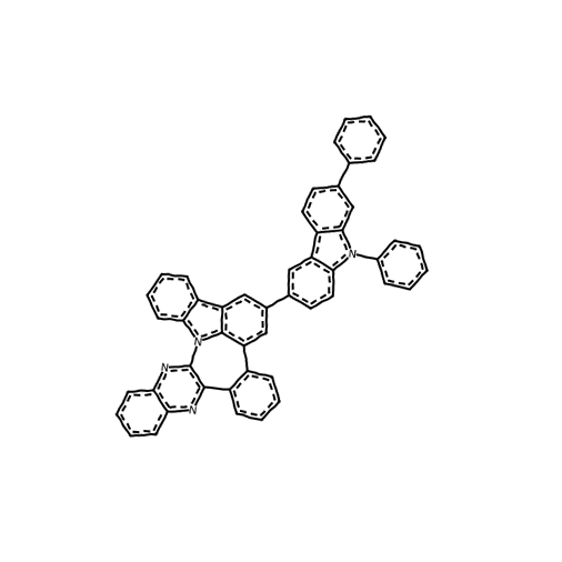 c1ccc(-c2ccc3c4cc(-c5cc6c7c(c5)c5ccccc5n7-c5nc7ccccc7nc5-c5ccccc5-6)ccc4n(-c4ccccc4)c3c2)cc1